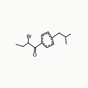 CCC(Br)C(=O)c1ccc(CC(C)C)cc1